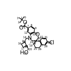 CC(C)(C)OC(=O)c1ccc2c(c1)N(C[C@@H]1CC[C@]1(C)CO)CC1(CCCc3cc(Cl)ccc31)CO2